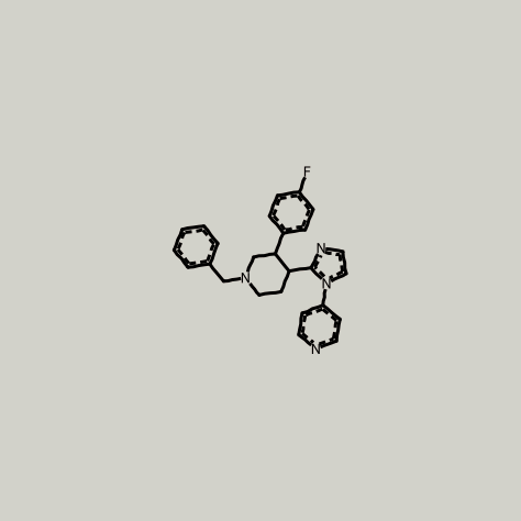 Fc1ccc(C2CN(Cc3ccccc3)CCC2c2nccn2-c2ccncc2)cc1